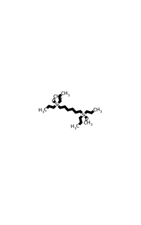 CCC[Si](CCC)(CCCCCC[Si](CCC)(CCC)OC)OC